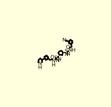 N#Cc1cccc(CC(=O)Nc2nnc([C@H]3CCC[C@H](c4nnc(NC(=O)Cc5cccc(C6CCCNC6)c5)s4)C3)s2)c1